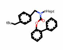 CCCCCCCN(Cc1ccc(CC(C)(C)C)cc1)C(=O)Oc1ccccc1-c1ccccc1